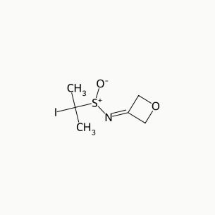 CC(C)(I)[S+]([O-])N=C1COC1